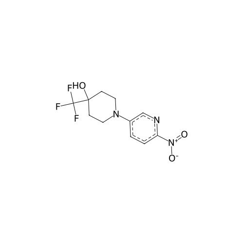 O=[N+]([O-])c1ccc(N2CCC(O)(C(F)(F)F)CC2)cn1